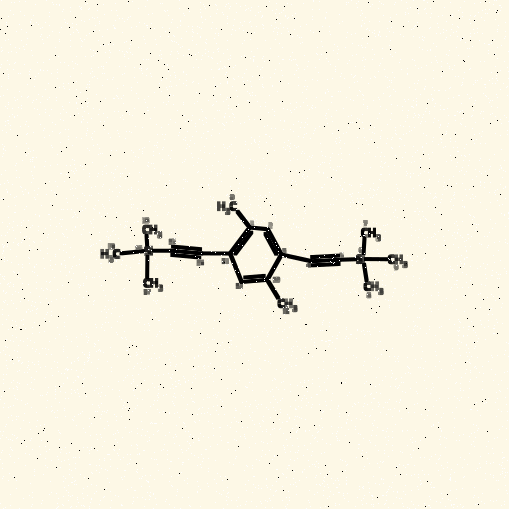 Cc1cc(C#C[Si](C)(C)C)c(C)cc1C#C[Si](C)(C)C